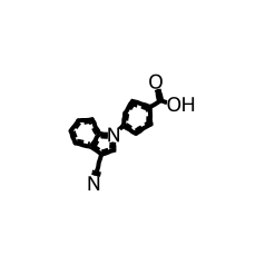 N#Cc1cn(-c2ccc(C(=O)O)cc2)c2ccccc12